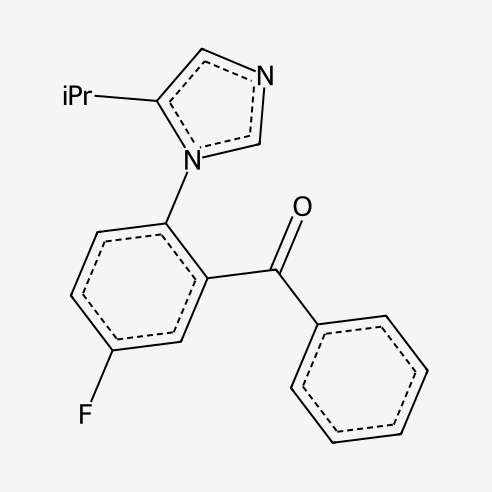 CC(C)c1cncn1-c1ccc(F)cc1C(=O)c1ccccc1